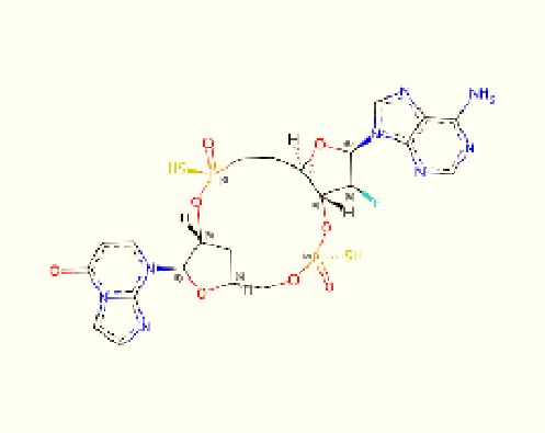 Nc1ncnc2c1ncn2[C@@H]1O[C@@H]2CC[P@](=O)(S)O[C@@H]3C[C@@H](CO[P@@](=O)(S)O[C@H]2[C@@H]1F)O[C@H]3n1ccc(=O)n2ccnc12